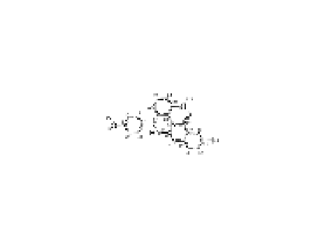 COc1ccc(CNc2nc3ccc(I)cc3c(=O)n2-c2ccccc2OC)cc1